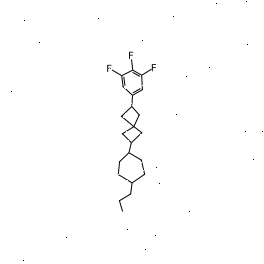 CCCC1CCC(C2CC3(CC(c4cc(F)c(F)c(F)c4)C3)C2)CC1